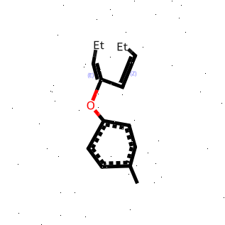 CC/C=C\C(=C/CC)Oc1ccc(C)cc1